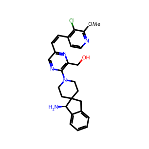 COc1nccc(/C=C\c2cnc(N3CCC4(CC3)Cc3ccccc3[C@H]4N)c(CO)n2)c1Cl